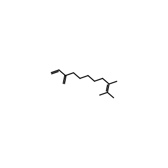 C=CC(=C)CCCCCC(C)=C(C)C